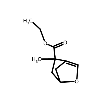 CCOC(=O)C1(C)CC2CC1=CO2